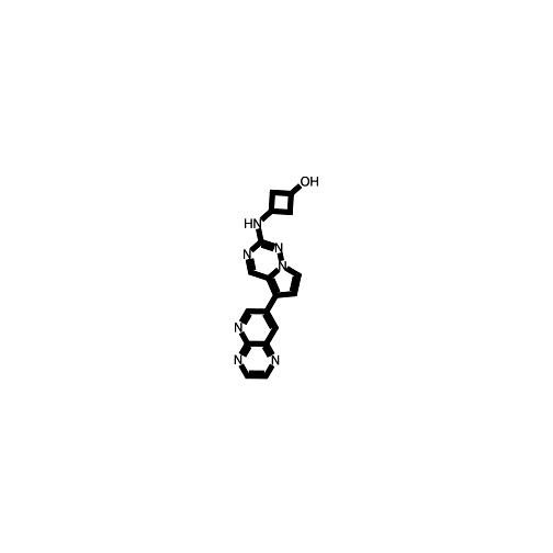 OC1CC(Nc2ncc3c(-c4cnc5nccnc5c4)ccn3n2)C1